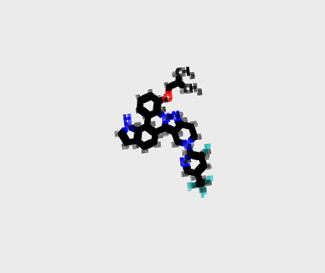 CC(C)COc1cccc2c3c(ccc4cc[nH]c43)c3c4c(nn3c12)CCN(c1ncc(C(F)(F)F)cc1F)C4